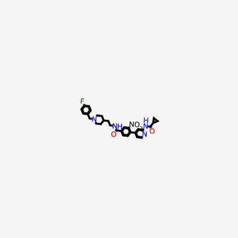 O=C(NCCC1CCN(Cc2ccc(F)cc2)CC1)c1ccc(-c2ccnc(NC(=O)C3CC3)c2)c([N+](=O)[O-])c1